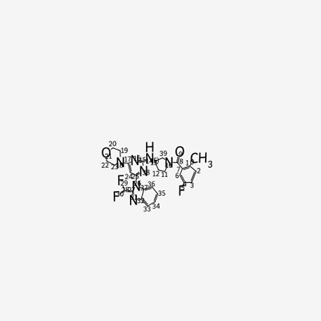 Cc1ccc(F)cc1C(=O)N1CC[C@H](Nc2nc(N3CCOCC3)cc(-n3c(C(F)F)nc4ccccc43)n2)C1